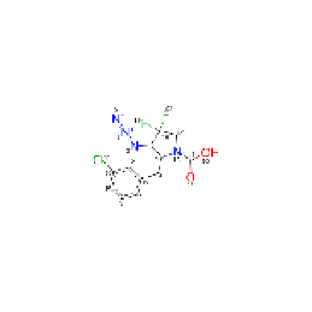 [N-]=[N+]=NC1C(Cc2cccc(Cl)c2)N(C(=O)O)CC1(F)F